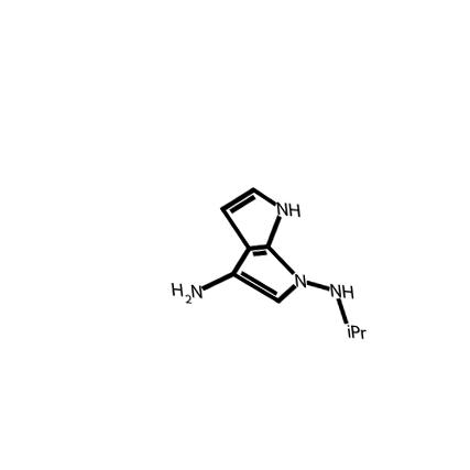 CC(C)Nn1cc(N)c2cc[nH]c21